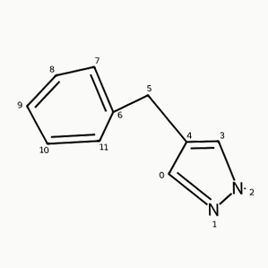 C1=N[N]C=C1Cc1ccccc1